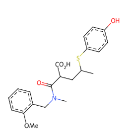 COc1ccccc1CN(C)C(=O)C(CC(C)Sc1ccc(O)cc1)C(=O)O